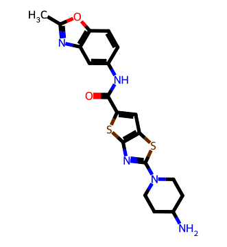 Cc1nc2cc(NC(=O)c3cc4sc(N5CCC(N)CC5)nc4s3)ccc2o1